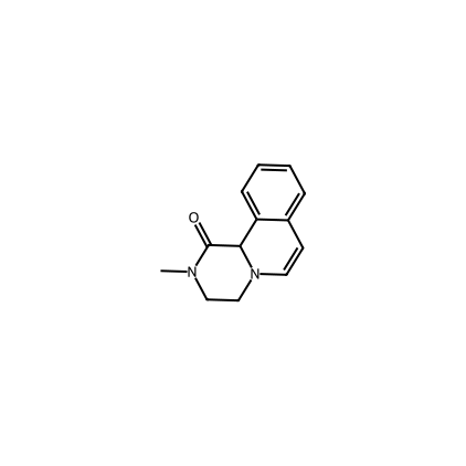 CN1CCN2C=Cc3ccccc3C2C1=O